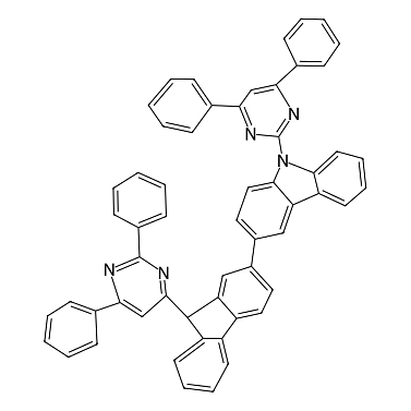 c1ccc(-c2cc(C3c4ccccc4-c4ccc(-c5ccc6c(c5)c5ccccc5n6-c5nc(-c6ccccc6)cc(-c6ccccc6)n5)cc43)nc(-c3ccccc3)n2)cc1